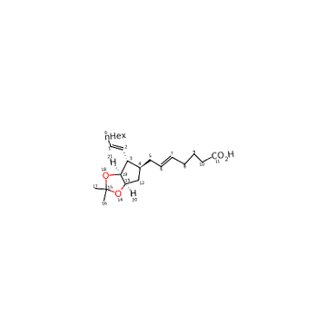 CCCCCCC=C[C@@H]1[C@@H](CC=CCCCC(=O)O)C[C@H]2OC(C)(C)O[C@@H]12